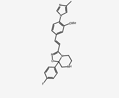 COc1cc(/C=C/C2=NOC3(c4ccc(F)cc4)CNCCN23)ccc1-n1cnc(C)c1